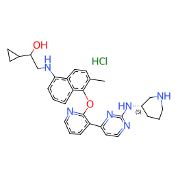 Cc1ccc2c(NCC(O)C3CC3)cccc2c1Oc1ncccc1-c1ccnc(N[C@H]2CCCNC2)n1.Cl